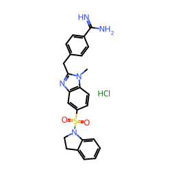 Cl.Cn1c(Cc2ccc(C(=N)N)cc2)nc2cc(S(=O)(=O)N3CCc4ccccc43)ccc21